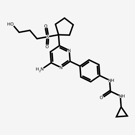 Nc1cc(C2(S(=O)(=O)CCCO)CCCC2)nc(-c2ccc(NC(=O)NC3CC3)cc2)n1